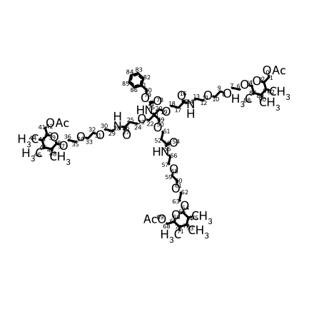 CC(=O)OCC1OC(OCCOCCOCCNC(=O)CCOCC(COCCC(=O)NCCOCCOCCOC2OC(COC(C)=O)C(C)C(C)C2C)(COCCC(=O)NCCOCCOCCOC2OC(COC(C)=O)C(C)C(C)C2C)NC(=O)OCc2ccccc2)C(C)C(C)C1C